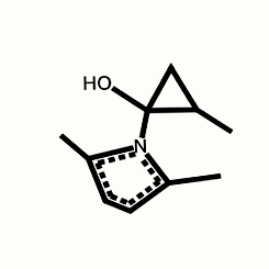 Cc1ccc(C)n1C1(O)CC1C